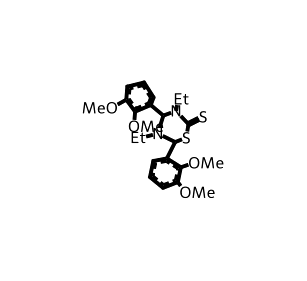 CCN1C(=S)SC(c2cccc(OC)c2OC)N(CC)C1c1cccc(OC)c1OC